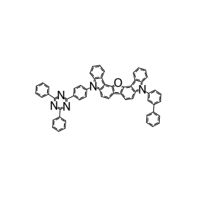 c1ccc(-c2cccc(-n3c4ccccc4c4c5oc6c(ccc7c6c6ccccc6n7-c6ccc(-c7nc(-c8ccccc8)nc(-c8ccccc8)n7)cc6)c5ccc43)c2)cc1